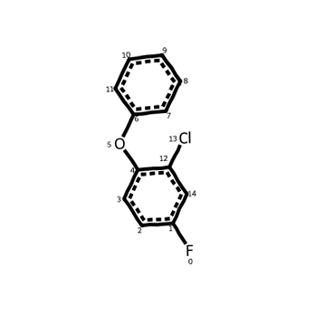 Fc1ccc(Oc2c[c]ccc2)c(Cl)c1